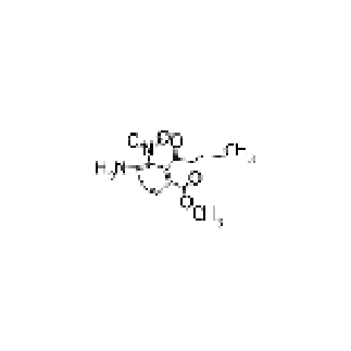 CCCCC(=O)c1c(C(=O)OC)ccc(N)c1[N+](=O)[O-]